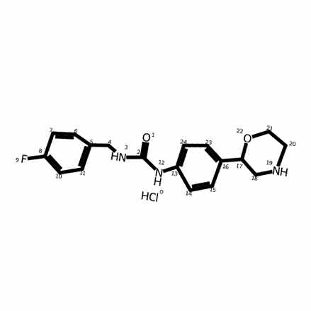 Cl.O=C(NCc1ccc(F)cc1)Nc1ccc(C2CNCCO2)cc1